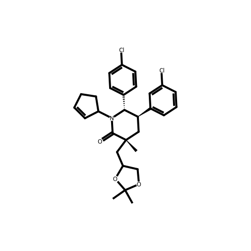 CC1(C)OCC(C[C@@]2(C)C[C@H](c3cccc(Cl)c3)[C@@H](c3ccc(Cl)cc3)N(C3C=CCC3)C2=O)O1